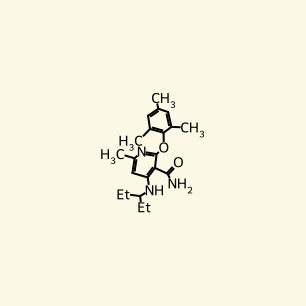 CCC(CC)Nc1cc(C)nc(Oc2c(C)cc(C)cc2C)c1C(N)=O